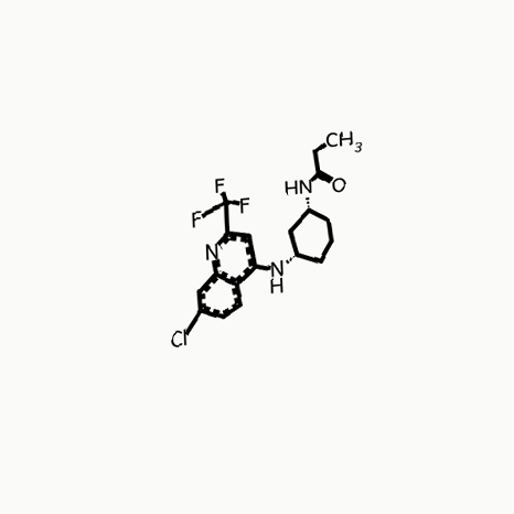 CCC(=O)N[C@@H]1CCC[C@H](Nc2cc(C(F)(F)F)nc3cc(Cl)ccc23)C1